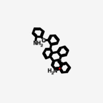 Nc1ccccc1Oc1ccccc1-c1cccc(-c2ccccc2)c1-c1ccccc1Oc1ccccc1N